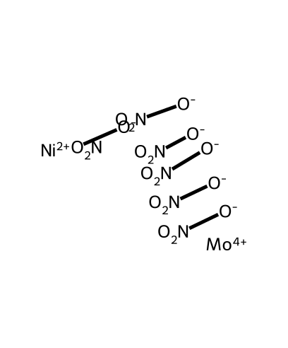 O=[N+]([O-])[O-].O=[N+]([O-])[O-].O=[N+]([O-])[O-].O=[N+]([O-])[O-].O=[N+]([O-])[O-].O=[N+]([O-])[O-].[Mo+4].[Ni+2]